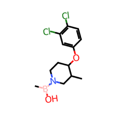 CB(O)N1CCC(Oc2ccc(Cl)c(Cl)c2)C(C)C1